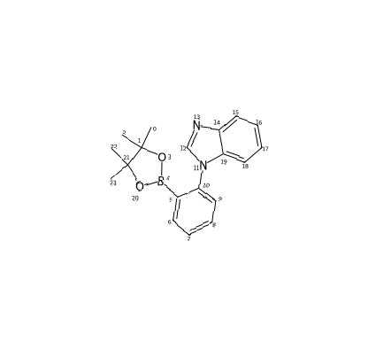 CC1(C)OB(c2ccccc2-n2cnc3ccccc32)OC1(C)C